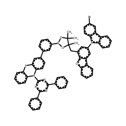 CC1(C)OB(c2cccc(-c3ccc4c(c3)Sc3ccccc3N4c3nc(-c4ccccc4)nc(-c4ccccc4)n3)c2)OC1(C)Cc1cc(-n2c3ccccc3c3cc(Br)ccc32)cc2c1oc1ccccc12